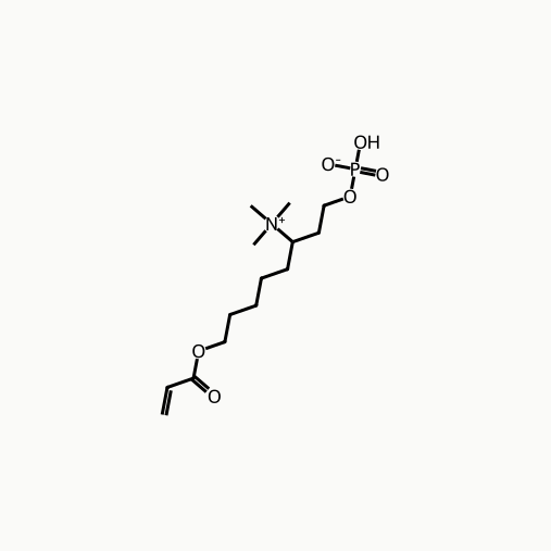 C=CC(=O)OCCCCCC(CCOP(=O)([O-])O)[N+](C)(C)C